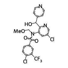 COCN(c1cc(Cl)cnc1C(O)c1ccncc1)S(=O)(=O)c1ccc(Cl)c(C(F)(F)F)c1